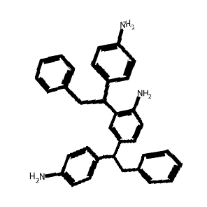 Nc1ccc(C(Cc2ccccc2)c2ccc(N)c(C(Cc3ccccc3)c3ccc(N)cc3)c2)cc1